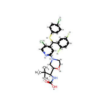 CC(C)(C)C(NC(=O)O)C1CN(c2cc(C(Sc3ccc(Cl)cc3)c3cc(F)ccc3F)c(Cl)cn2)CCO1